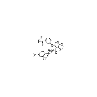 O=C(NCC(F)(F)c1ccc(Br)cc1Cl)c1c(Oc2cccc(C(F)(F)F)c2)cnc2c1OCCO2